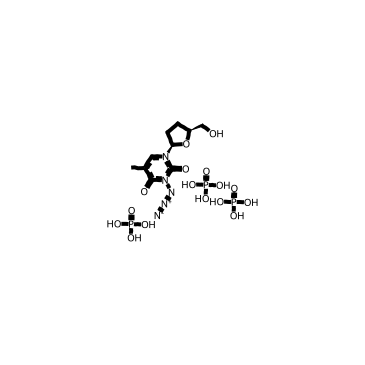 Cc1cn([C@H]2CC[C@@H](CO)O2)c(=O)n(N=[N+]=[N-])c1=O.O=P(O)(O)O.O=P(O)(O)O.O=P(O)(O)O